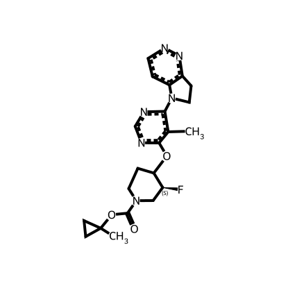 Cc1c(OC2CCN(C(=O)OC3(C)CC3)C[C@@H]2F)ncnc1N1CCc2nnccc21